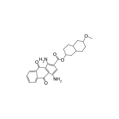 COC1CCC2CC(OC(=O)c3cc(N)c4c(c3N)C(=O)c3ccccc3C4=O)CCC2C1